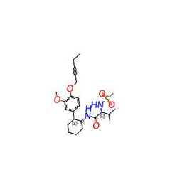 CCC#CCOc1ccc([C@@H]2CCCC[C@H]2NC(=O)[C@@H](NS(C)(=O)=O)C(C)C)cc1OC